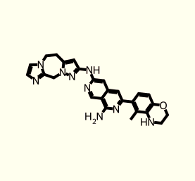 Cc1c(-c2cc3cc(Nc4cc5n(n4)Cc4nccn4CC5)ncc3c(N)n2)ccc2c1NCCO2